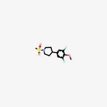 COc1c(F)cc(C2CCN(S(C)(=O)=O)CC2)cc1F